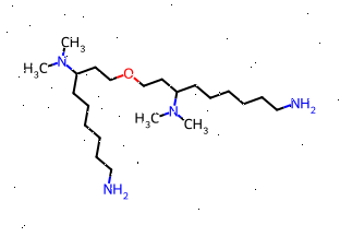 CN(C)C(CCCCCCN)CCOCCC(CCCCCCN)N(C)C